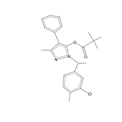 Cc1ccc(C(C)n2nc(C)c(-c3ccccc3)c2OC(=O)C(C)(C)C)cc1Cl